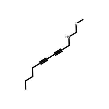 CCCCC#CC#CCNCOC